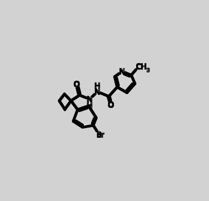 Cc1ccc(C(=O)NNC(=O)C2(c3ccc(Br)cc3)CCC2)cn1